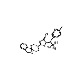 [2H]C([2H])([2H])/C(=C1\SC(N2CCC3(CC2)OCc2ccccc23)=NC1=O)c1ccc(C)nc1